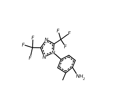 Cc1cc(-n2nc(C(F)(F)F)nc2C(F)(F)F)ccc1N